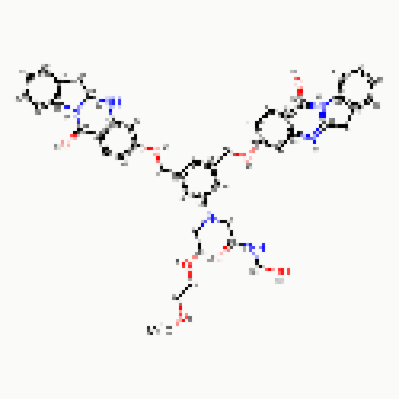 COOCCOCCN(CC(=O)NCO)c1cc(COc2ccc3c(c2)NC2Cc4ccccc4N2C3=O)cc(COc2ccc3c(=O)n4c(nc3c2)Cc2ccccc2-4)c1